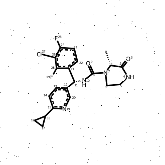 C[C@@H]1C(=O)NCCN1C(=O)N[C@H](c1ccc(C2CC2)nc1)c1ccc(F)c(Cl)c1F